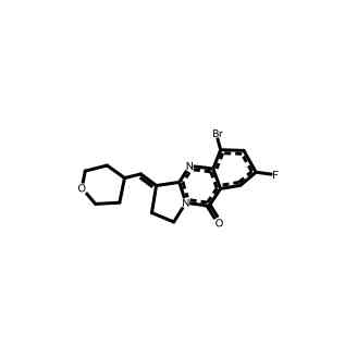 O=c1c2cc(F)cc(Br)c2nc2n1CCC2=CC1CCOCC1